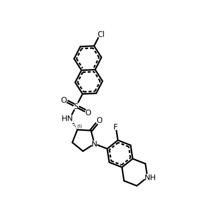 O=C1[C@@H](NS(=O)(=O)c2ccc3cc(Cl)ccc3c2)CCN1c1cc2c(cc1F)CNCC2